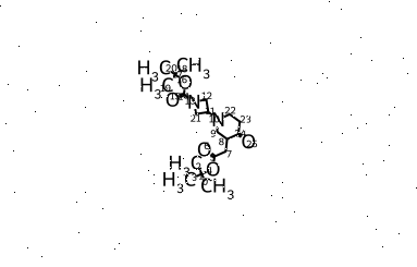 CC(C)(C)OC(=O)CC1CN(C2CN(C(=O)OC(C)(C)C)C2)CCC1=O